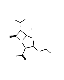 CCSC1S[C@@H]2[C@@H](C(C)O)C(=O)N2C1C(=O)O